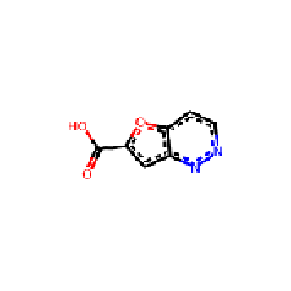 O=C(O)c1cc2nnccc2o1